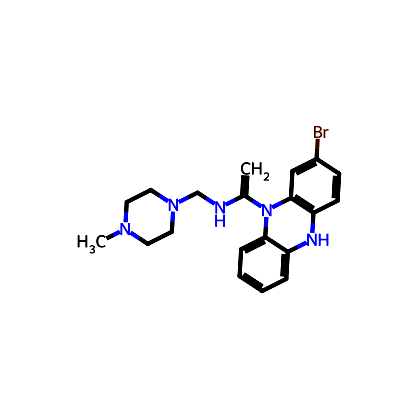 C=C(NCN1CCN(C)CC1)N1c2ccccc2Nc2ccc(Br)cc21